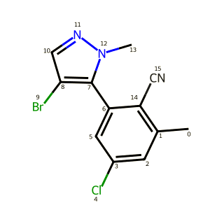 Cc1cc(Cl)cc(-c2c(Br)cnn2C)c1C#N